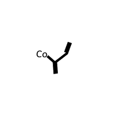 C=C[C](=C)[Co]